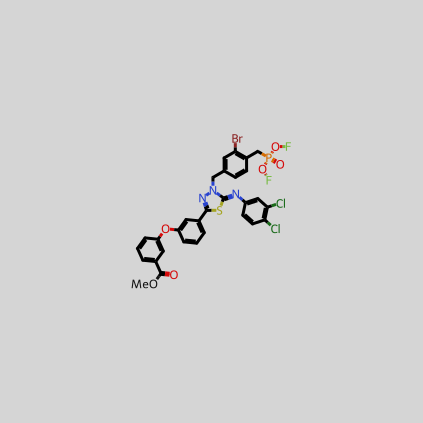 COC(=O)c1cccc(Oc2cccc(-c3nn(Cc4ccc(CP(=O)(OF)OF)c(Br)c4)c(=Nc4ccc(Cl)c(Cl)c4)s3)c2)c1